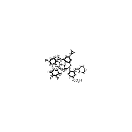 O=C(O)c1ccc(N(Cc2cc(C3CC3)cc(C3CC3)c2)C(=O)CN(Cc2ccc(F)cc2Cl)S(=O)(=O)c2c(F)c(F)c(F)c(F)c2F)c(OC2CCOCC2)c1